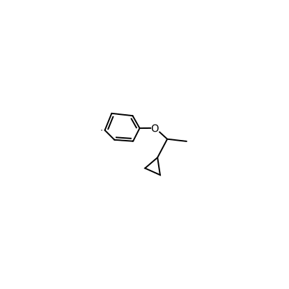 CC(Oc1cc[c]cc1)C1CC1